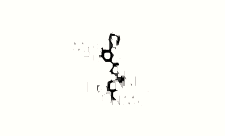 CCOc1cc2n(cc1C(=O)NC)c(N)n[n+]2CC(=O)c1cc(N2CCOCC2)c(OC)c(C(C)(C)C)c1